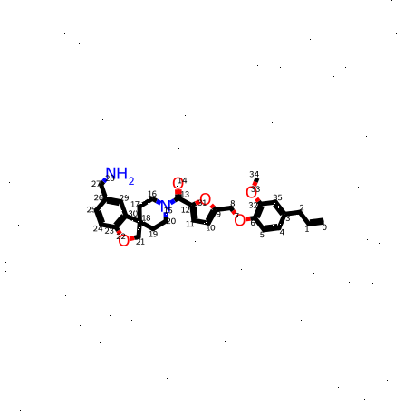 C=CCc1ccc(OCc2ccc(C(=O)N3CCC4(CC3)COc3ccc(CN)cc34)o2)c(OC)c1